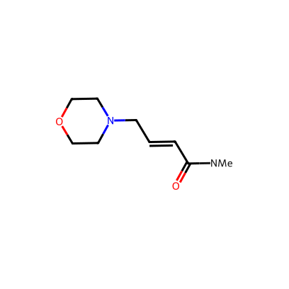 CNC(=O)/C=C/CN1CCOCC1